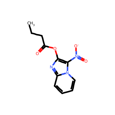 CCCC(=O)Oc1nc2ccccn2c1[N+](=O)[O-]